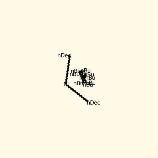 CCCCC1=C(c2cc(CCCC)c(CCCC)c(CCCC)c2)[N+](=[N-])C(c2cc(CCCC)c(CCCC)c(CCCC)c2)=C1CCCC.CCCCCCCCCCCCCCCCCCCCCCCCCCCCC[CH2][Ni][CH2]CCCCCCCCCCCCCCCCCCCCCCCCCCCCC